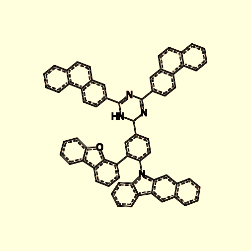 c1ccc2cc3c(cc2c1)c1ccccc1n3-c1ccc(C2N=C(c3ccc4c(ccc5ccccc54)c3)N=C(c3ccc4c(ccc5ccccc54)c3)N2)cc1-c1cccc2c1oc1ccccc12